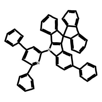 c1ccc(-c2cc(-c3ccccc3)nc(-n3c4c(c5cc(-c6ccccc6)ccc53)C3(c5ccccc5-c5ccccc53)c3ccccc3-4)c2)cc1